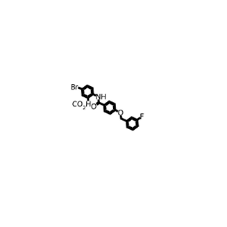 O=C(Nc1ccc(Br)cc1C(=O)O)c1ccc(OCc2cccc(F)c2)cc1